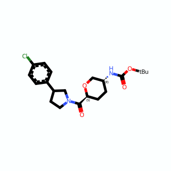 CC(C)(C)OC(=O)N[C@@H]1CC[C@@H](C(=O)N2CCC(c3ccc(Cl)cc3)C2)OC1